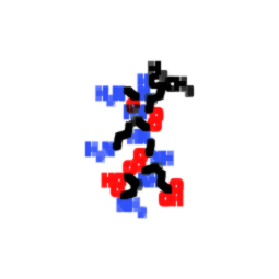 CC(C)C[C@H](NC(=O)CN)C(=O)N[C@@H](CCCCN)C(=O)NCC(=O)N[C@@H](CCC(=O)O)C(=O)N[C@@H](CC(N)=O)C(=O)O